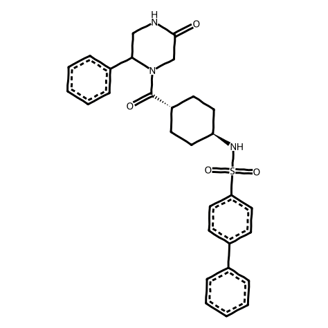 O=C1CN(C(=O)[C@H]2CC[C@H](NS(=O)(=O)c3ccc(-c4ccccc4)cc3)CC2)C(c2ccccc2)CN1